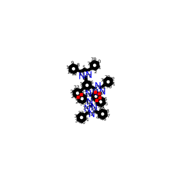 c1ccc(-c2cc(-c3ccccc3)nc(-c3cc(-c4ccccc4)c(N4c5ccccc5N(c5nc(-c6ccccc6)nc(-c6ccccc6)n5)c5ccccc54)c(-c4nc(-c5ccccc5)nc(-c5ccccc5)n4)c3)n2)cc1